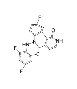 O=c1[nH]ccc2c1-c1cc(F)ccc1N(Nc1c(F)cc(F)cc1Cl)C2